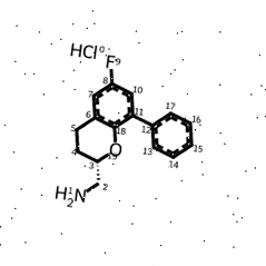 Cl.NC[C@@H]1CCc2cc(F)cc(-c3ccccc3)c2O1